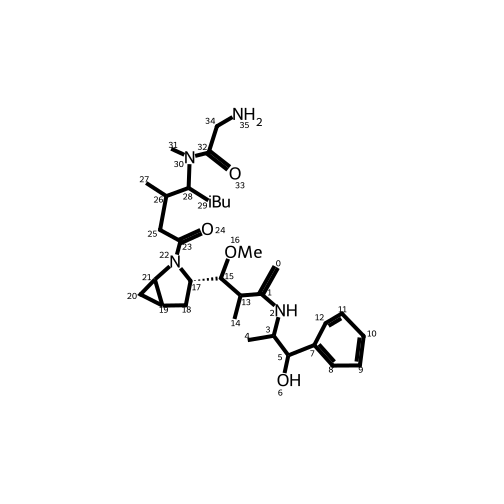 C=C(NC(C)C(O)c1ccccc1)C(C)C(OC)[C@@H]1CC2CC2N1C(=O)CC(C)C(C(C)CC)N(C)C(=O)CN